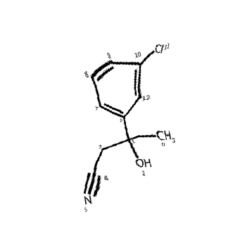 CC(O)(CC#N)c1cccc(Cl)c1